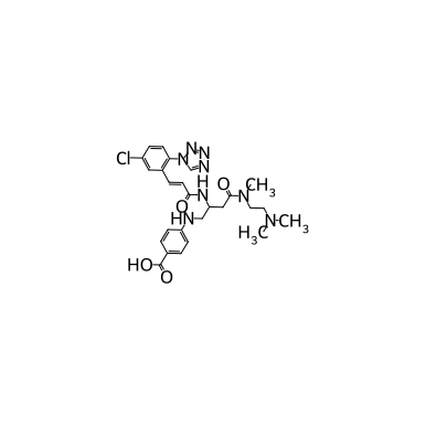 CN(C)CCN(C)C(=O)CC(CNc1ccc(C(=O)O)cc1)NC(=O)/C=C/c1cc(Cl)ccc1-n1cnnn1